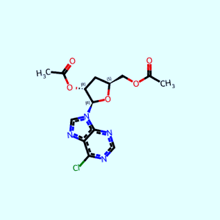 CC(=O)OC[C@@H]1C[C@@H](OC(C)=O)[C@H](n2cnc3c(Cl)ncnc32)O1